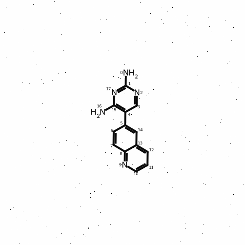 Nc1ncc(-c2ccc3ncccc3c2)c(N)n1